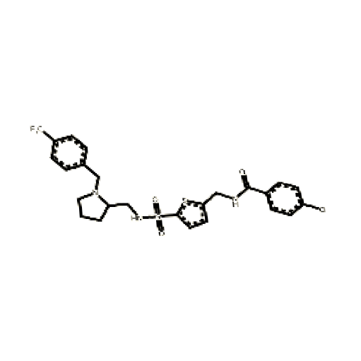 O=C(NCc1ccc(S(=O)(=O)NCC2CCCN2Cc2ccc(C(F)(F)F)cc2)s1)c1ccc(Cl)cc1